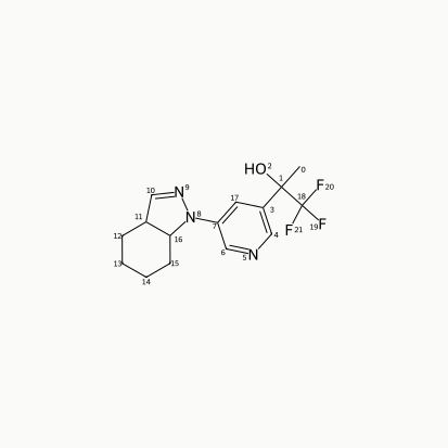 CC(O)(c1cncc(N2N=CC3CCCCC32)c1)C(F)(F)F